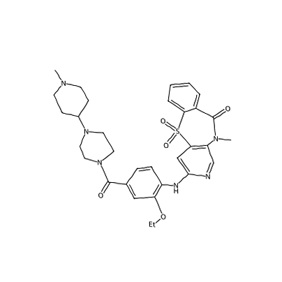 CCOc1cc(C(=O)N2CCN(C3CCN(C)CC3)CC2)ccc1Nc1cc2c(cn1)N(C)C(=O)c1ccccc1S2(=O)=O